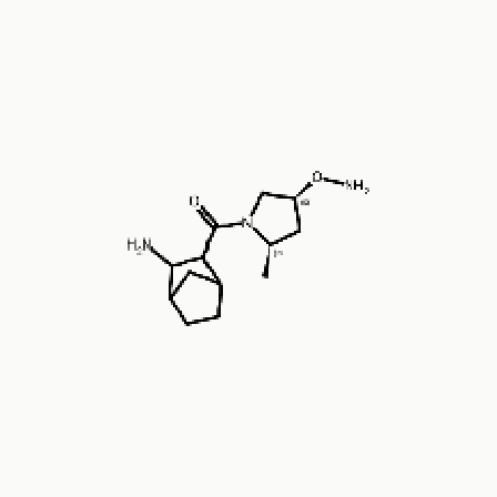 C[C@@H]1C[C@H](ON)CN1C(=O)C1C2CCC(C2)C1N